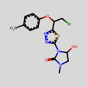 CN1CC(O)N(c2nnc(C(CBr)Oc3ccc([N+](=O)[O-])cc3)s2)C1=O